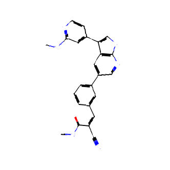 CNC(=O)C(C#N)=Cc1cccc(-c2cnc3[nH]cc(-c4ccnc(NC)c4)c3c2)c1